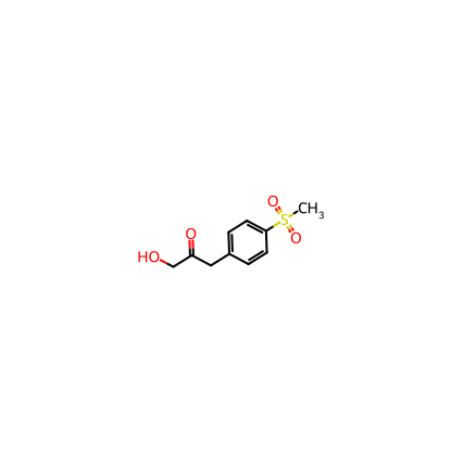 CS(=O)(=O)c1ccc(CC(=O)CO)cc1